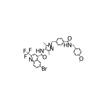 COc1ccc(CNC(=O)c2ccc(Cn3nc(C)c(NC(=O)c4cc(C(F)(F)F)nc5ccc(Br)cc45)c3C)cc2)cc1